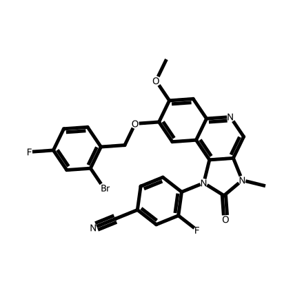 COc1cc2ncc3c(c2cc1OCc1ccc(F)cc1Br)n(-c1ccc(C#N)cc1F)c(=O)n3C